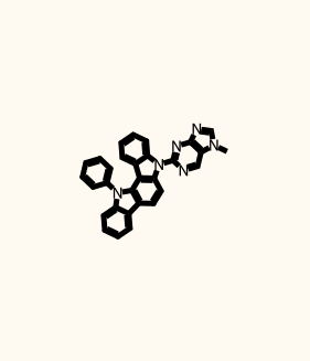 Cn1cnc2nc(-n3c4ccccc4c4c3ccc3c5ccccc5n(-c5ccccc5)c34)ncc21